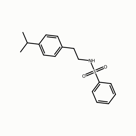 CC(C)c1ccc(CCNS(=O)(=O)c2ccccc2)cc1